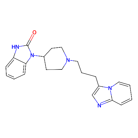 O=c1[nH]c2ccccc2n1C1CCN(CCCc2cnc3ccccn23)CC1